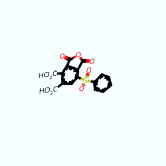 O=C(O)c1cc(S(=O)(=O)c2ccccc2)c2c(c1C(=O)O)C(=O)OC2=O